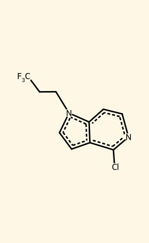 FC(F)(F)CCn1ccc2c(Cl)nccc21